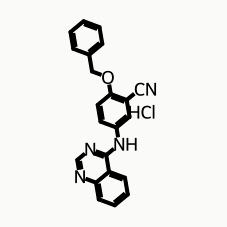 Cl.N#Cc1cc(Nc2ncnc3ccccc23)ccc1OCc1ccccc1